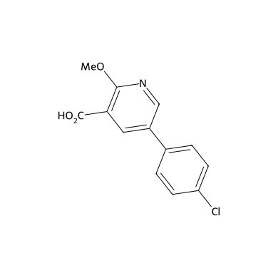 COc1ncc(-c2ccc(Cl)cc2)cc1C(=O)O